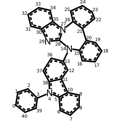 c1ccc(-n2c3ccccc3c3cc(N4c5ccccc5-c5ccccc5-n5c4nc4ccccc45)ccc32)cc1